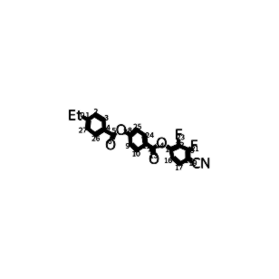 CCc1ccc(C(=O)Oc2ccc(C(=O)Oc3ccc(C#N)c(F)c3F)cc2)cc1